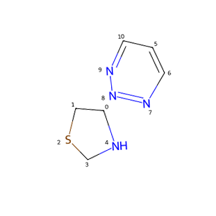 C1CSCN1.c1cnnnc1